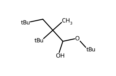 CC(C)(C)CC(C)(C(O)OC(C)(C)C)C(C)(C)C